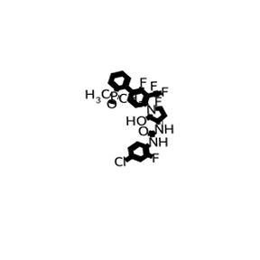 CP(C)(=O)c1ccccc1-c1ccc(N2CC[C@@H](NC(=O)Nc3ccc(Cl)cc3F)C2O)c(C(F)(F)F)c1F